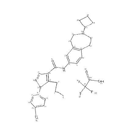 CCCc1c(C(=O)Nc2ccc3c(c2)CCN(C2CCC2)CC3)cnn1-c1ccc(Cl)cc1.O=C(O)C(F)(F)F